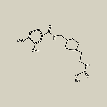 COc1ccc(C(=O)NCC2CCN(CCNC(=O)OC(C)(C)C)CC2)cc1OC